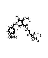 C=C1C(=O)N(Cc2ccc(OC)cc2)CC1COCCN(C)C